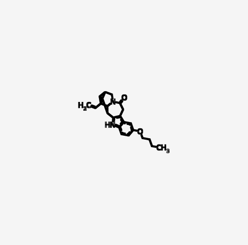 C=CC1=CC2CC3c4[nH]c5ccc(OCCCC)cc5c4CC(=O)N(C2)C13